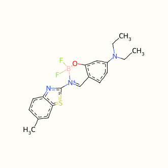 CCN(CC)c1ccc2c(c1)O[B-](F)(F)[N+](c1nc3ccc(C)cc3s1)=C2